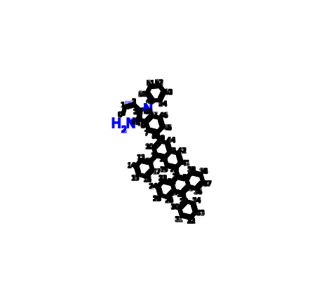 C/C=C\c1c(N)c2cc(-c3cc(-c4ccccc4)c4cc(-c5c6ccccc6c(-c6ccccc6)c6ccccc56)ccc4c3)ccc2n1-c1ccccc1